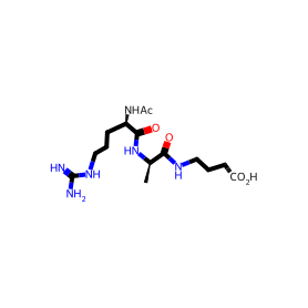 CC(=O)N[C@H](CCCNC(=N)N)C(=O)N[C@H](C)C(=O)NCCCC(=O)O